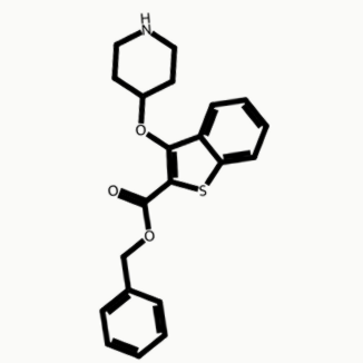 O=C(OCc1ccccc1)c1sc2ccccc2c1OC1CCNCC1